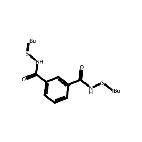 CCC(C)SNC(=O)c1cccc(C(=O)NSC(C)CC)c1